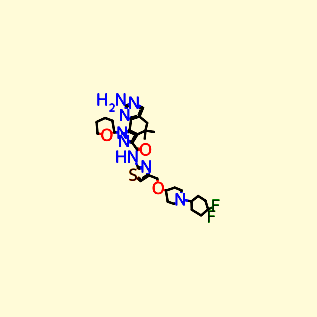 CC1(C)Cc2cnc(N)nc2-c2c1c(C(=O)Nc1nc(COC3CCN(C4CCC(F)(F)CC4)CC3)cs1)nn2C1CCCCO1